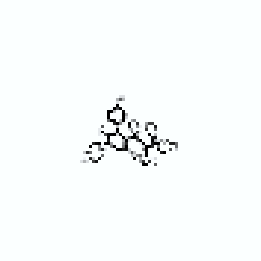 CN1CCN(c2cc3c(c(-c4ccc(F)cc4)c2F)c(=O)c(C(=O)O)c2n3CS2)CC1